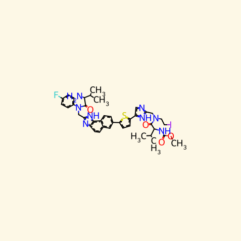 COC(=O)NC(C(=O)N(CCI)Cc1ncc(-c2ccc(-c3ccc4c(ccc5nc(CN(C(=O)C(N)C(C)C)c6ccc(F)cc6)[nH]c54)c3)s2)[nH]1)C(C)C